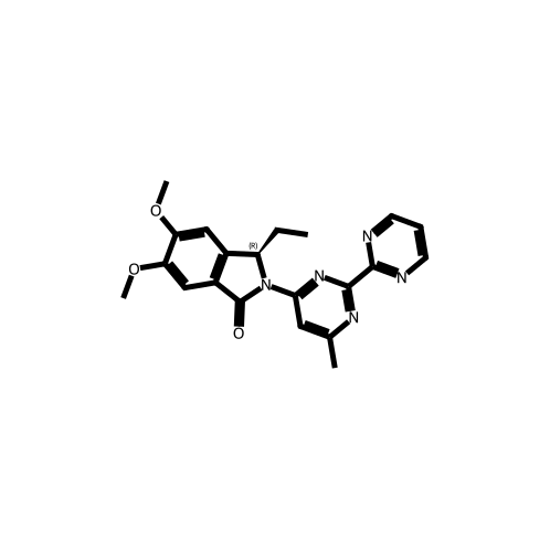 CC[C@@H]1c2cc(OC)c(OC)cc2C(=O)N1c1cc(C)nc(-c2ncccn2)n1